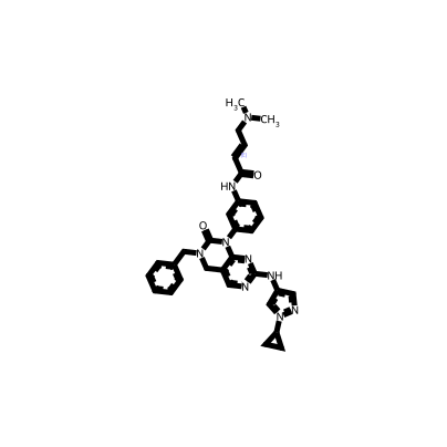 CN(C)C/C=C/C(=O)Nc1cccc(N2C(=O)N(Cc3ccccc3)Cc3cnc(Nc4cnn(C5CC5)c4)nc32)c1